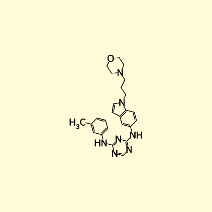 Cc1cccc(Nc2ncnc(Nc3ccc4c(ccn4CCCN4CCOCC4)c3)n2)c1